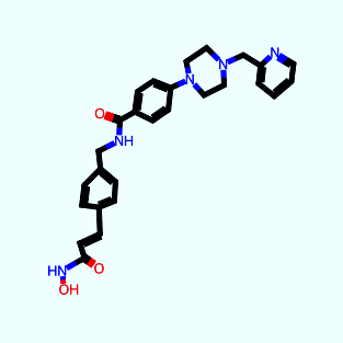 O=C(C=Cc1ccc(CNC(=O)c2ccc(N3CCN(Cc4ccccn4)CC3)cc2)cc1)NO